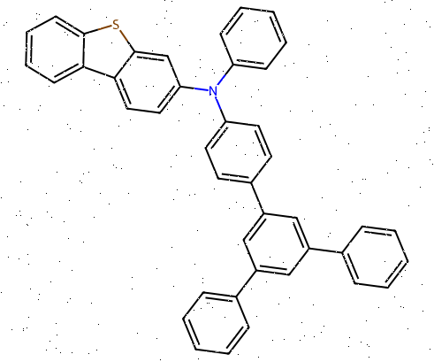 c1ccc(-c2cc(-c3ccccc3)cc(-c3ccc(N(c4ccccc4)c4ccc5c(c4)sc4ccccc45)cc3)c2)cc1